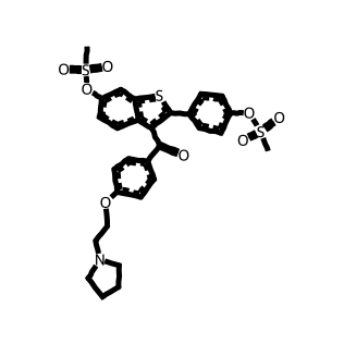 CS(=O)(=O)Oc1ccc(-c2sc3cc(OS(C)(=O)=O)ccc3c2C(=O)c2ccc(OCCN3CCCC3)cc2)cc1